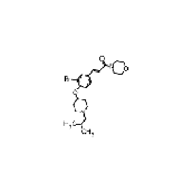 CC(C)CN1CCC(Oc2ccc(C=CC(=O)N3CCOCC3)cc2Br)CC1